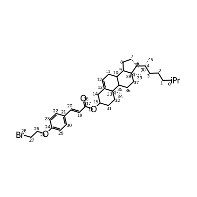 CC(C)CCC[C@@H](C)[C@H]1CCC2C3CC=C4CC(OC(=O)C=Cc5ccc(OCCBr)cc5)CC[C@]4(C)C3CC[C@@]21C